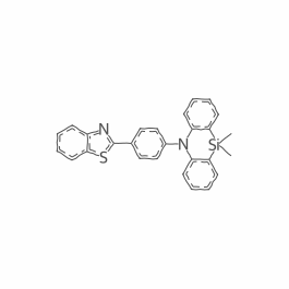 C[Si]1(C)c2ccccc2N(c2ccc(-c3nc4ccccc4s3)cc2)c2ccccc21